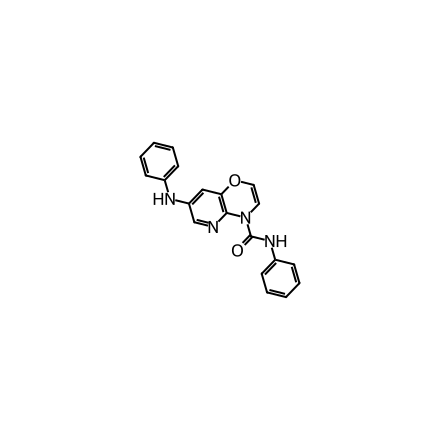 O=C(Nc1ccccc1)N1C=COc2cc(Nc3ccccc3)cnc21